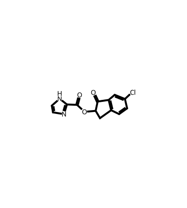 O=C(OC1Cc2ccc(Cl)cc2C1=O)c1ncc[nH]1